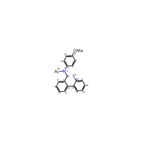 COc1ccc(N(Cc2ccccc2-c2ccccc2I)C(C)=O)cc1